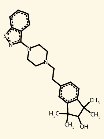 CC1(C)c2ccc(CCN3CCN(c4nsc5ccccc45)CC3)cc2C(C)(C)C1O